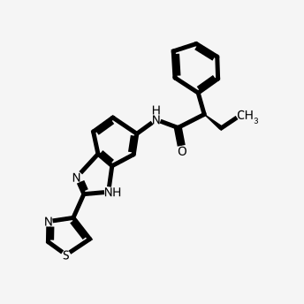 CC[C@@H](C(=O)Nc1ccc2nc(-c3cscn3)[nH]c2c1)c1ccccc1